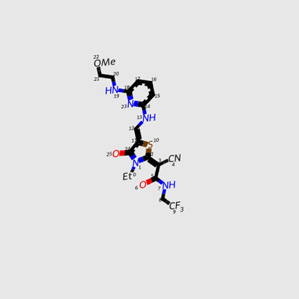 CCn1c(=C(C#N)C(=O)NCC(F)(F)F)sc(=CNc2cccc(NCCOC)n2)c1=O